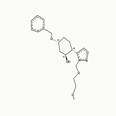 COCCOCn1nccc1[C@H]1CC[C@@H](OCc2ccccc2)C[C@@H]1O